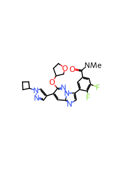 CNC(=O)c1cc(F)c(F)c(-c2cnc3cc(-c4cnn(C5CCC5)c4)c(OC4CCOC4)nn23)c1